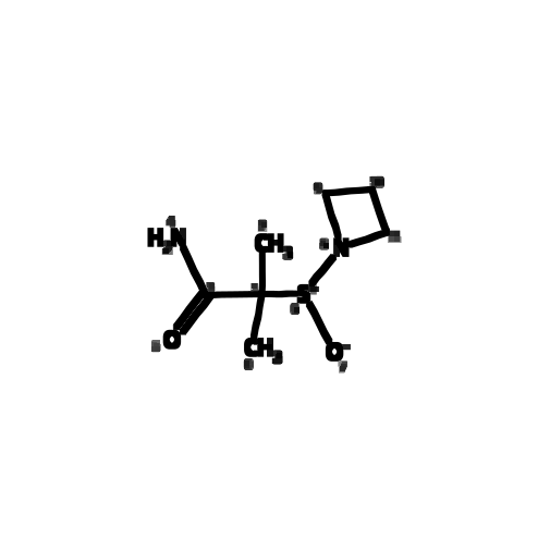 CC(C)(C(N)=O)[S+]([O-])N1CCC1